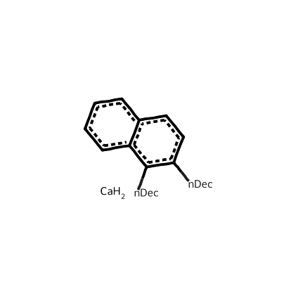 CCCCCCCCCCc1ccc2ccccc2c1CCCCCCCCCC.[CaH2]